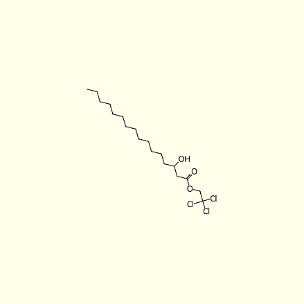 CCCCCCCCCCCCCC(O)CC(=O)OCC(Cl)(Cl)Cl